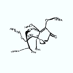 CCCCCCCCCC[C@]1([C@@](CCCCCC)(OCCCCCC)C(O)CCCCCC)OC(=O)C(OCCCCCC)=C1O